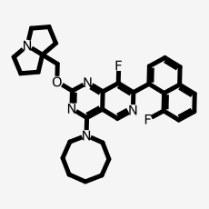 Fc1c(-c2cccc3cccc(F)c23)ncc2c(N3CCCCCCC3)nc(OCC34CCCN3CCC4)nc12